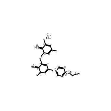 CC(C)[CH2][Co+2].CC1=CC(C)C(=N)C(C)=C1.CC1=CC(C)C(=N)C(C)=C1.[Cl-].[Cl-].c1ccncc1